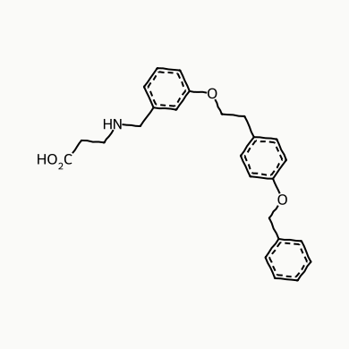 O=C(O)CCNCc1cccc(OCCc2ccc(OCc3ccccc3)cc2)c1